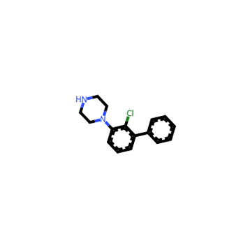 Clc1c(-c2ccccc2)cccc1N1CCNCC1